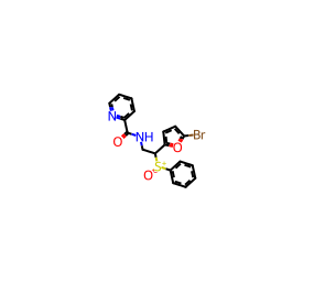 O=C(NCC(c1ccc(Br)o1)[S+]([O-])c1ccccc1)c1ccccn1